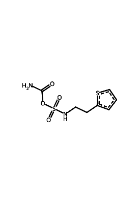 NC(=O)OS(=O)(=O)NCCc1cccs1